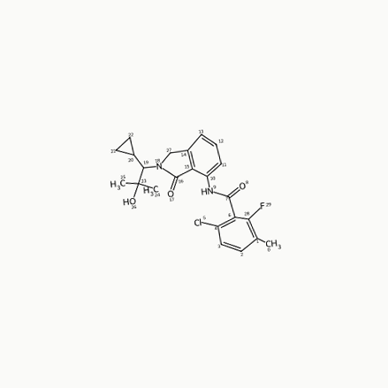 Cc1ccc(Cl)c(C(=O)Nc2cccc3c2C(=O)N(C(C2CC2)C(C)(C)O)C3)c1F